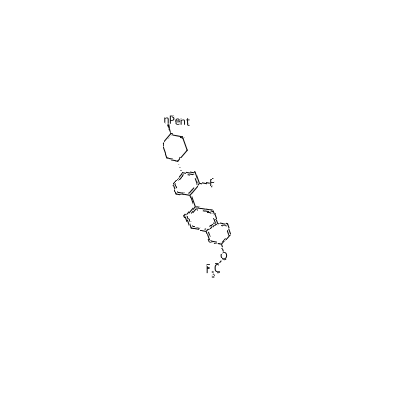 CCCCC[C@H]1CC[C@H](c2ccc(-c3ccc4cc(OC(F)(F)F)ccc4c3)c(F)c2)CC1